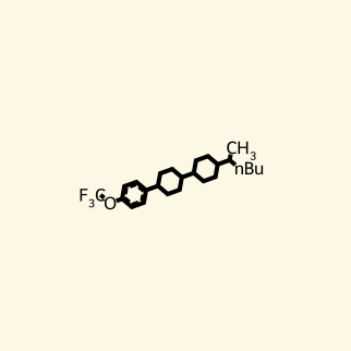 CCCCC(C)C1CCC(C2CCC(c3ccc(OC(F)(F)F)cc3)CC2)CC1